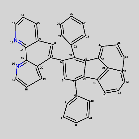 c1ccc(-c2cc(-c3cc4cccnc4c4ncccc34)c(-c3ccccc3)c3c2-c2cccc4cccc-3c24)cc1